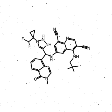 Cn1ccc2c([C@H](Nc3cc(C#N)c4ncc(C#N)c(NCC(C)(C)C)c4c3)C3=CN(C4(C(F)F)CC4)NN3)cccc2c1=O